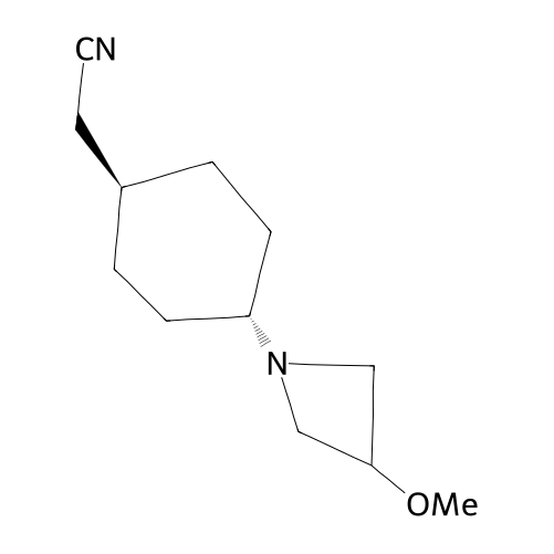 COC1CN([C@H]2CC[C@H](CC#N)CC2)C1